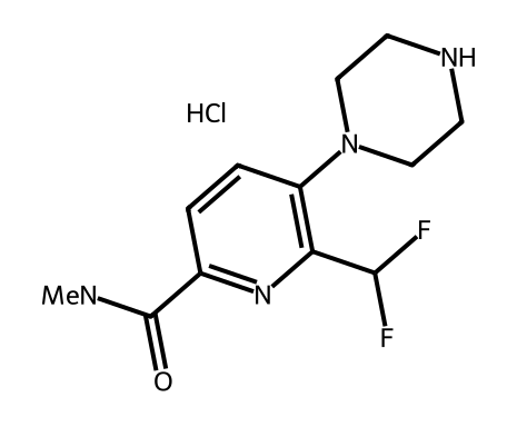 CNC(=O)c1ccc(N2CCNCC2)c(C(F)F)n1.Cl